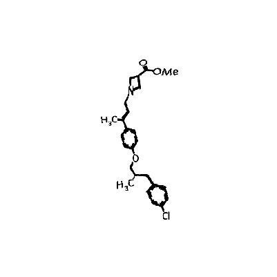 COC(=O)C1CN(C/C=C(\C)c2ccc(OC[C@@H](C)Cc3ccc(Cl)cc3)cc2)C1